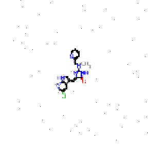 CN(Cc1ccccn1)C1=N/C(=C\c2c[nH]c3ncc(Cl)cc23)C(=O)N1